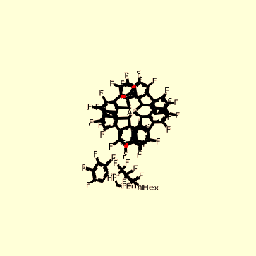 CCCCCCC(F)(F)C(F)(F)C(F)(F)[PH+](CC(C)CCC)c1cc(F)c(F)c(F)c1F.Fc1cc2c(c(F)c1F)-c1c(F)c(F)c(F)c(F)c1[CH]2[Al-]([CH]1c2cc(F)c(F)c(F)c2-c2c(F)c(F)c(F)c(F)c21)([CH]1c2cc(F)c(F)c(F)c2-c2c(F)c(F)c(F)c(F)c21)[CH]1c2cc(F)c(F)c(F)c2-c2c(F)c(F)c(F)c(F)c21